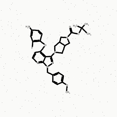 COc1ccc(Cn2nc(N3CC4CN(C(=O)OC(C)(C)C)CC4C3)c3c(Oc4ccc(N)cc4F)ccnc32)cc1